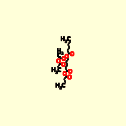 CCC(=O)OC(C)=O.CCCCCC(=O)OCCCCC(=O)OC(=O)CCC